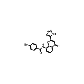 O=C(Nc1cccc2c(=O)cc(-c3nnn[nH]3)oc12)c1ccc(Br)cc1